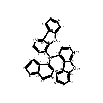 c1ccc2c(N(c3ccnc4c3oc3ccccc34)c3ccnc4oc5ccccc5c34)cccc2c1